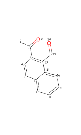 CC(=O)c1ccc2ccccc2c1C=O